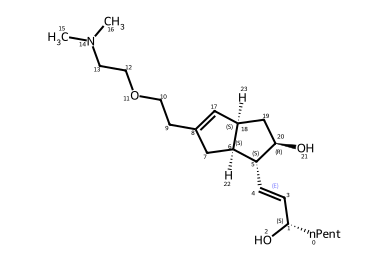 CCCCC[C@H](O)/C=C/[C@@H]1[C@H]2CC(CCOCCN(C)C)=C[C@H]2C[C@H]1O